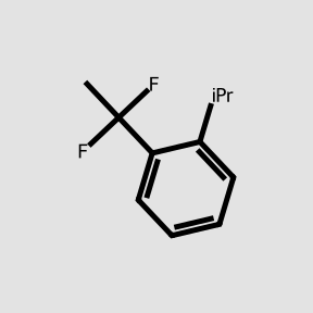 CC(C)c1ccccc1C(C)(F)F